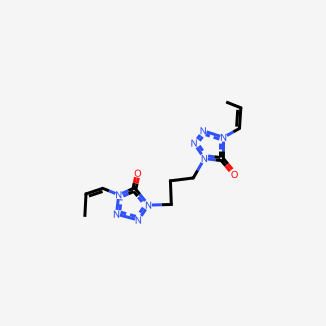 C/C=C\n1nnn(CCCn2nnn(/C=C\C)c2=O)c1=O